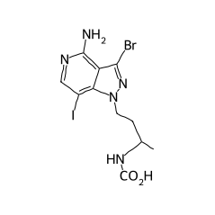 CC(CCn1nc(Br)c2c(N)ncc(I)c21)NC(=O)O